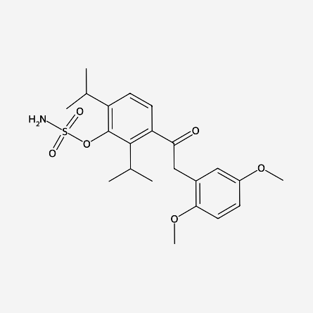 COc1ccc(OC)c(CC(=O)c2ccc(C(C)C)c(OS(N)(=O)=O)c2C(C)C)c1